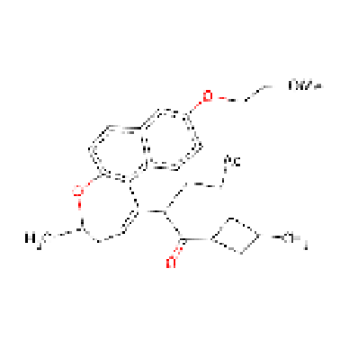 COCCOc1ccc2c3c(ccc2c1)OC(C)CC=C3C(CCC(C)=O)C(=O)C1CC(C)C1